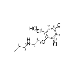 CCCNCCOc1c(Cl)cc(Cl)cc1Cl.Cl